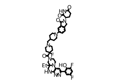 CCC12CNc3nnc(-c4cc(F)cc(F)c4O)cc3N1CCN(C(=O)C1(F)CCN(CC3CCN(c4ccc5c(c4)C(=O)N([C@H]4CCC(=O)NC4=O)C5)CC3)CC1)C2